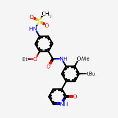 CCOc1cc(NS(C)(=O)=O)ccc1C(=O)Nc1cc(-c2ccc[nH]c2=O)cc(C(C)(C)C)c1OC